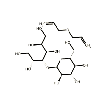 C=CCOCC=C.OC[C@@H](O)[C@@H](O[C@H]1O[C@H](CO)[C@@H](O)[C@H](O)[C@H]1O)[C@H](O)[C@@H](O)CO